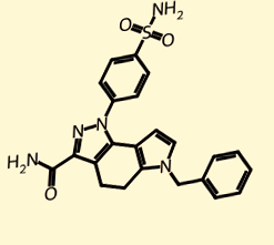 NC(=O)c1nn(-c2ccc(S(N)(=O)=O)cc2)c2c1CCc1c-2ccn1Cc1ccccc1